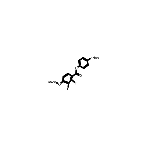 CCCCCCCCCOc1ccc(C(=O)Oc2ccc(CCCCCCCCC)cc2)c(F)c1F